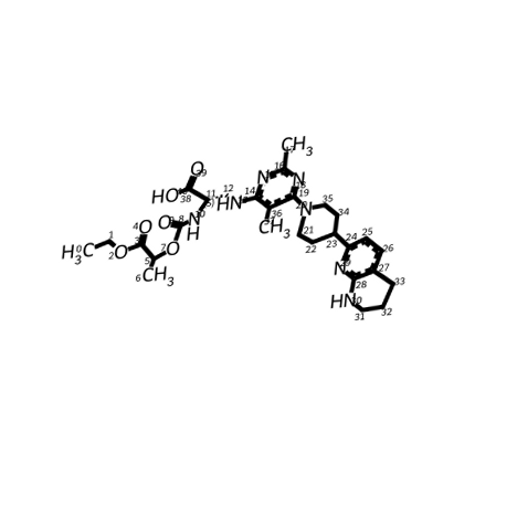 CCOC(=O)C(C)OC(=O)N[C@@H](CNc1nc(C)nc(N2CCC(c3ccc4c(n3)NCCC4)CC2)c1C)C(=O)O